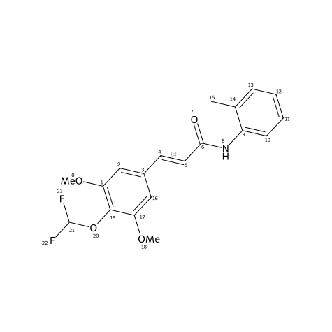 COc1cc(/C=C/C(=O)Nc2ccccc2C)cc(OC)c1OC(F)F